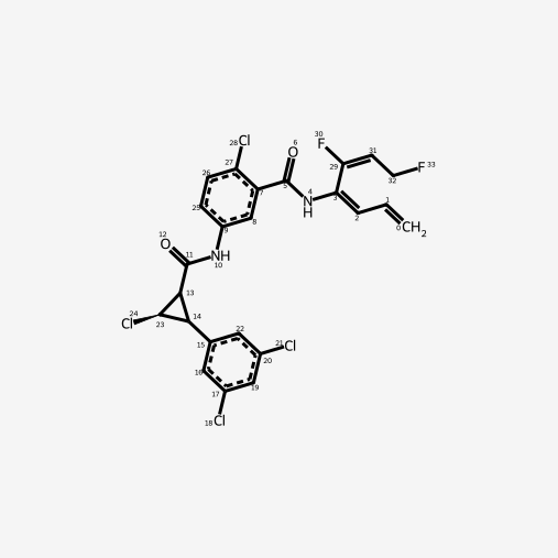 C=C/C=C(NC(=O)c1cc(NC(=O)C2C(c3cc(Cl)cc(Cl)c3)[C@H]2Cl)ccc1Cl)\C(F)=C/CF